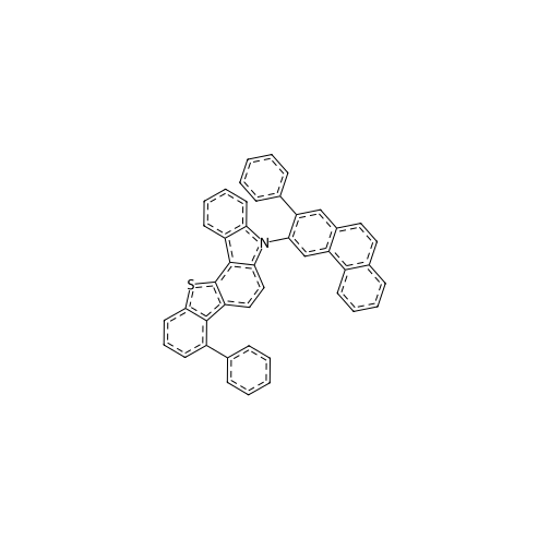 c1ccc(-c2cc3ccc4ccccc4c3cc2-n2c3ccccc3c3c4sc5cccc(-c6ccccc6)c5c4ccc32)cc1